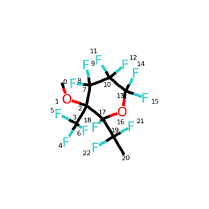 COC1(C(F)(F)F)C(F)(F)C(F)(F)C(F)(F)OC1(F)C(C)(F)F